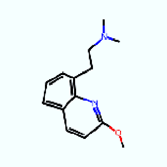 COc1ccc2cccc(CCN(C)C)c2n1